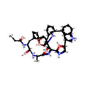 CC(C)CC(=O)N[C@H]1Cc2ccc3c(c2)C24c5cccc(c5NC2O3)-c2cccc3[nH]cc(c23)-c2cnc(o2)-c2nc(oc24)C(C(C)C)NC1=O